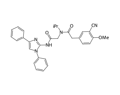 COc1ccc(CC(=O)N(CC(=O)Nc2nc(-c3ccccc3)cn2-c2ccccc2)C(C)C)cc1C#N